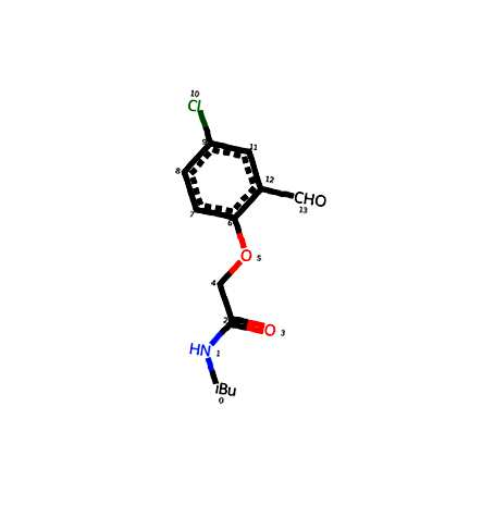 CCC(C)NC(=O)COc1ccc(Cl)cc1C=O